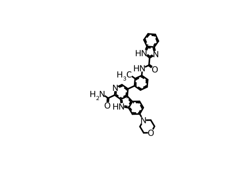 Cc1c(NC(=O)c2nc3ccccc3[nH]2)cccc1-c1cnc(C(N)=O)c2[nH]c3cc(N4CCOCC4)ccc3c12